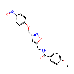 COc1ccc(C(=O)NCc2cc(COc3ccc([N+](=O)[O-])cc3)no2)cc1